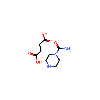 NC(=O)N1CCNCC1.O=C(O)CCC(=O)O